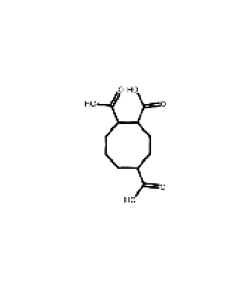 O=C(O)C1CCCC(C(=O)O)C(C(=O)O)CC1